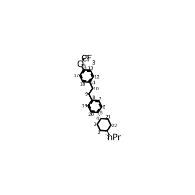 CCC[C@H]1CC[C@H](c2ccc(CCc3ccc(OC(F)(F)F)cc3)cc2)CC1